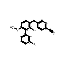 COc1ccc(Cc2ccc(C#N)nc2)c(F)c1-c1cccc(Cl)c1